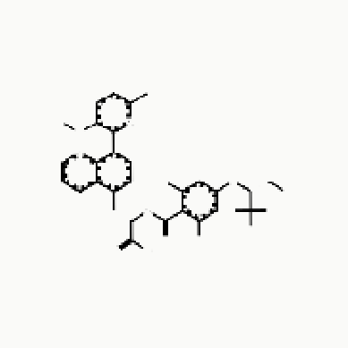 CC[C@@H](Nc1cc(F)c(C(=O)N[C@@H](Cc2ccc(-c3nc(C)ccc3OC)c3ncccc23)C(=O)O)c(F)c1)C(F)(F)F